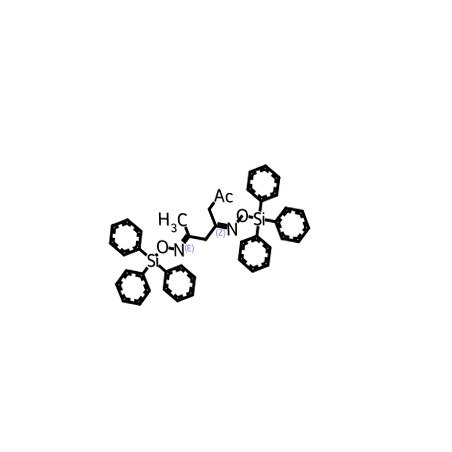 CC(=O)C/C(C/C(C)=N/O[Si](c1ccccc1)(c1ccccc1)c1ccccc1)=N\O[Si](c1ccccc1)(c1ccccc1)c1ccccc1